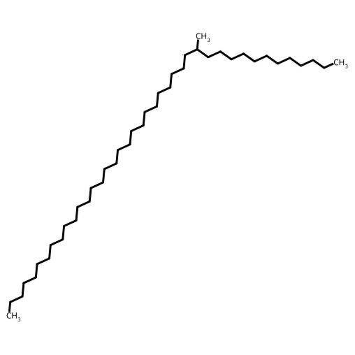 CCCCCCCCCCCCCCCCCCCCCCCCCCC[CH]C(C)CCCCCCCCCCCC